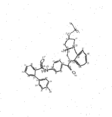 CC(=O)OC1C[C@H]2CN(C(=O)c3ccc(NC(=O)c4ccccc4-c4ccc(C)cc4)cc3)c3ccccc3N2C1